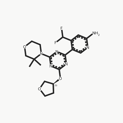 CC1(C)COCCN1c1nc(O[C@H]2CCOC2)nc(-c2cnc(N)cc2C(F)F)n1